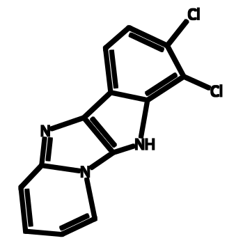 Clc1ccc2c([nH]c3c2nc2ccccn23)c1Cl